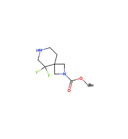 CC(C)(C)OC(=O)N1CC2(CCNCC2(F)F)C1